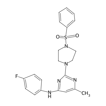 Cc1cc(Nc2ccc(F)cc2)nc(N2CCN(S(=O)(=O)c3ccccc3)CC2)n1